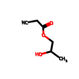 CC(O)COC(=O)CC#N